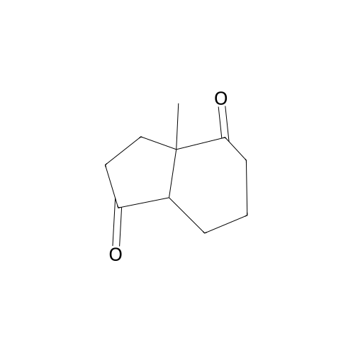 CC12CCC(=O)C1CCCC2=O